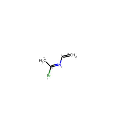 C=C/N=C(\C)Br